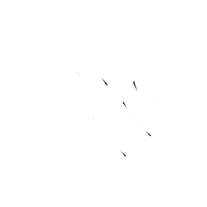 C[C@@H]1CCC[C@@H](C=C[C@H]2[C@@H]3CCCC[C@H]3C[C@H]3C(=O)O[C@H](C)[C@@H]23)N1C(=O)OC(C)(C)C